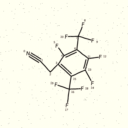 N#CCc1c(F)c(C(F)(F)F)c(F)c(F)c1C(F)(F)F